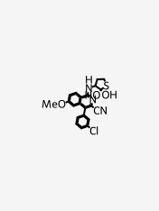 COc1ccc2c(NC3CCSC3(O)O)nc(C#N)c(-c3cccc(Cl)c3)c2c1